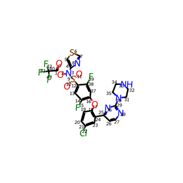 O=C(ON(c1cscn1)S(=O)(=O)c1cc(F)c(Oc2ccc(Cl)cc2-c2ccnc(N3CCNCC3)n2)cc1F)C(F)(F)F